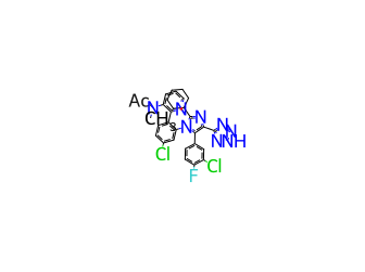 CC(=O)N(C)c1cccnc1-c1ccc(Cl)cc1-n1c(C2CCCCC2)nc(-c2nn[nH]n2)c1-c1ccc(F)c(Cl)c1